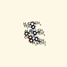 Cc1cccc(C)c1-c1cccc(N(c2cc(C(C)C)cc(N(C)c3ccc4c(c3)C(C)(C)CCC4C)c2)c2ccc(C(C)(C)C)cc2-c2ccccc2)c1